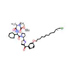 CC(C(=O)NC(C(=O)N1CCC[C@H]1c1nc(C(=O)c2cccc(OCCCCCCCCCCCCBr)c2)cs1)C1CCCCC1)N(C)C(=O)OC(C)(C)C